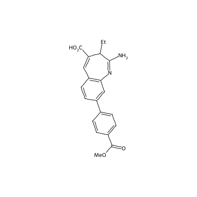 CCC1C(C(=O)O)=Cc2ccc(-c3ccc(C(=O)OC)cc3)cc2N=C1N